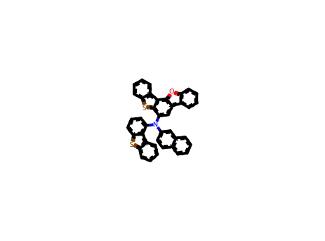 c1ccc2cc(N(c3cc4c5ccccc5oc4c4c3sc3ccccc34)c3cccc4sc5ccccc5c34)ccc2c1